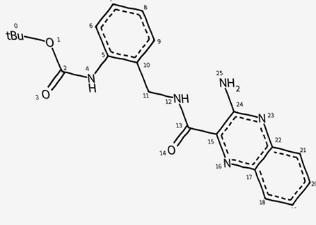 CC(C)(C)OC(=O)Nc1ccccc1CNC(=O)c1nc2ccccc2nc1N